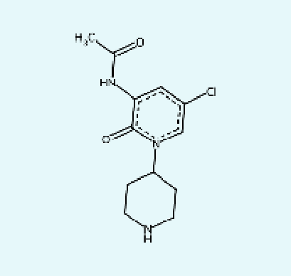 CC(=O)Nc1cc(Cl)cn(C2CCNCC2)c1=O